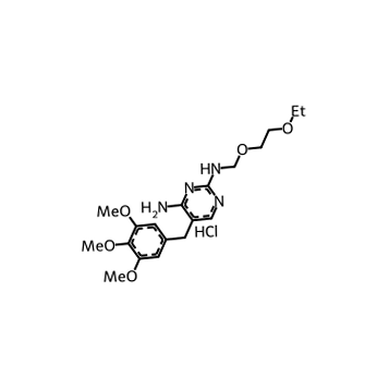 CCOCCOCNc1ncc(Cc2cc(OC)c(OC)c(OC)c2)c(N)n1.Cl